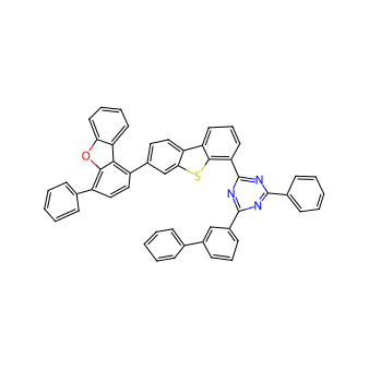 c1ccc(-c2cccc(-c3nc(-c4ccccc4)nc(-c4cccc5c4sc4cc(-c6ccc(-c7ccccc7)c7oc8ccccc8c67)ccc45)n3)c2)cc1